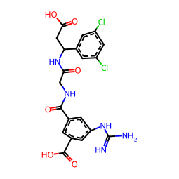 N=C(N)Nc1cc(C(=O)O)cc(C(=O)NCC(=O)NC(CC(=O)O)c2cc(Cl)cc(Cl)c2)c1